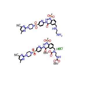 Cc1cc(C#N)nc(N2CCN(S(=O)(=O)c3ccc(NC(=O)c4cc(CN(CCNC(=O)OC(C)(C)C)C(=O)OC(C)(C)C)ccc4N(C)S(C)(=O)=O)nc3)CC2)n1.Cc1cc(C#N)nc(N2CCN(S(=O)(=O)c3ccc(NC(=O)c4cc(CNCCN)ccc4N(C)S(C)(=O)=O)nc3)CC2)n1.Cl.Cl